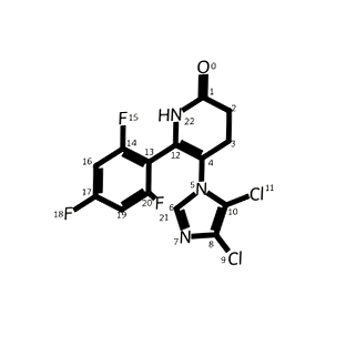 O=C1CCC(n2cnc(Cl)c2Cl)=C(c2c(F)cc(F)cc2F)N1